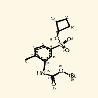 Cc1ccc(S(=O)(=O)OC2CCC2)cc1NC(=O)OC(C)(C)C